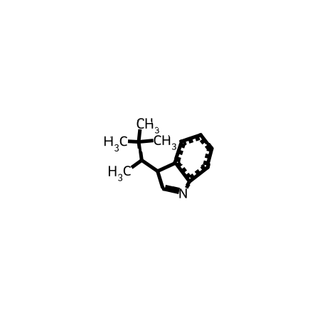 CC(C1C=Nc2ccccc21)C(C)(C)C